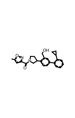 Cc1cc(C(=O)N2CCC(c3ccc(-c4ccccc4C4CC4)cc3CO)C2)no1